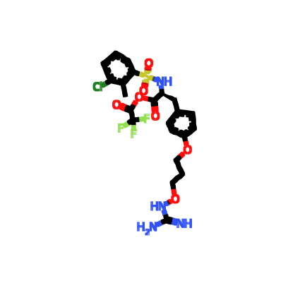 Cc1c(Cl)cccc1S(=O)(=O)N[C@@H](Cc1ccc(OCCCONC(=N)N)cc1)C(=O)OC(=O)C(F)(F)F